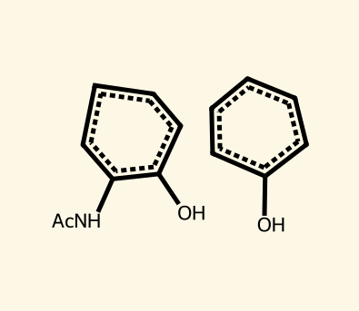 CC(=O)Nc1ccccc1O.Oc1ccccc1